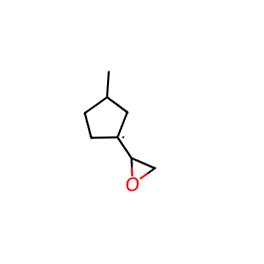 CC1CC[C](C2CO2)C1